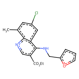 CCOC(=O)c1cnc2c(C)cc(Cl)cc2c1NCc1ccco1